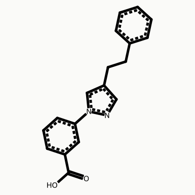 O=C(O)c1cccc(-n2cc(CCc3ccccc3)cn2)c1